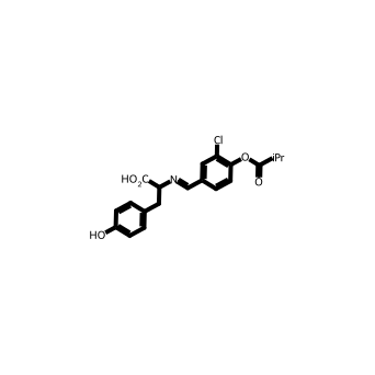 CC(C)C(=O)Oc1ccc(C=NC(Cc2ccc(O)cc2)C(=O)O)cc1Cl